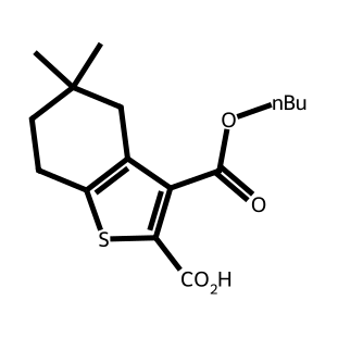 CCCCOC(=O)c1c(C(=O)O)sc2c1CC(C)(C)CC2